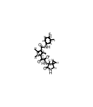 Cc1cc(NC(=O)c2c(C)c(C(=O)C(=O)NC3(C)C(=O)NCC34CC4)n(C)c2C)ccc1F